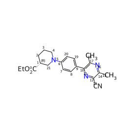 CCOC(=O)[C@@H]1CCCN(c2ccc(-c3nc(C#N)c(C)nc3C)cc2)C1